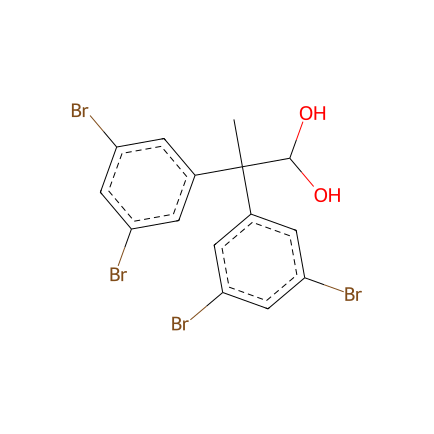 CC(c1cc(Br)cc(Br)c1)(c1cc(Br)cc(Br)c1)C(O)O